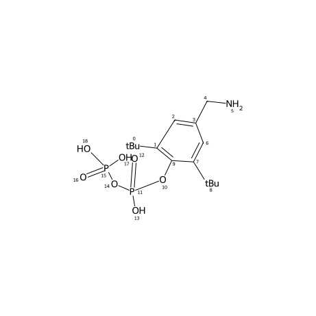 CC(C)(C)c1cc(CN)cc(C(C)(C)C)c1OP(=O)(O)OP(=O)(O)O